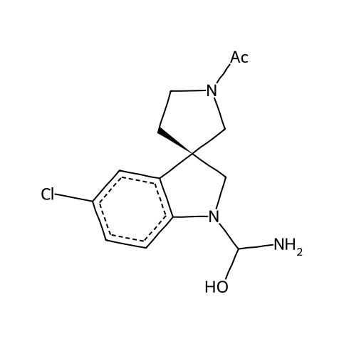 CC(=O)N1CC[C@@]2(C1)CN(C(N)O)c1ccc(Cl)cc12